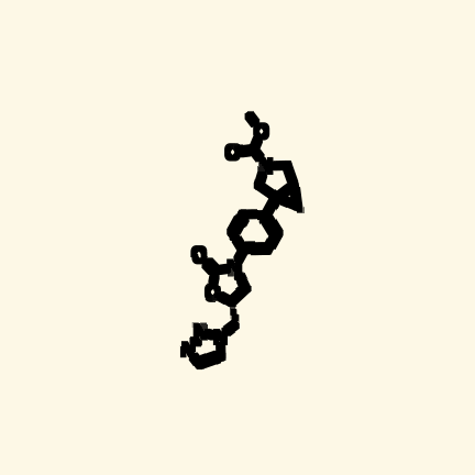 COC(=O)N1CC2CC2(c2ccc(N3C[C@H](Cn4ccnn4)OC3=O)cc2)C1